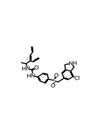 C=C/C=C(\C=C)C(C)NC(=O)Nc1ccc(S(=O)(=O)Cc2cc(Cl)c3c(c2)CNC3)cc1